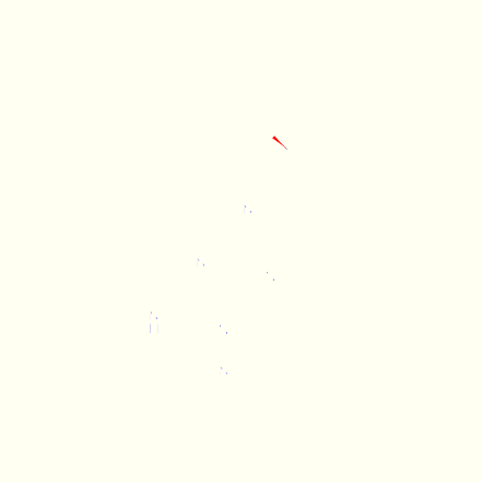 CNc1nc(NC[C@@H](O)CO)nc2c(C(C)C)cnn12